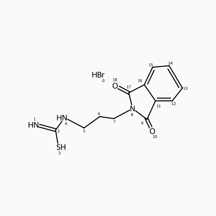 Br.N=C(S)NCCCN1C(=O)c2ccccc2C1=O